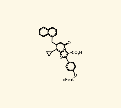 CCCCCOc1ccc(-c2sc3c(C4CC4)c(Cc4cccc5ccccc45)cc(=O)n3c2C(=O)O)cc1